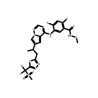 CONC(=O)c1cc(Nc2ncnn3cc(C(C)Cc4nnc(C(F)(F)S(C)(=O)=O)o4)cc23)c(F)cc1F